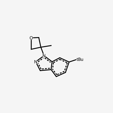 CC(C)(C)c1ccc2cnn(C3(C)COC3)c2c1